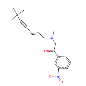 CN(CC=CC#CC(C)(C)C)CC(=O)c1cccc([N+](=O)[O-])c1